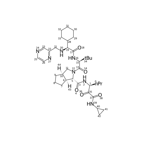 CCC[C@H](NC(=O)[C@@H]1[C@H]2CCC[C@H]2CN1C(=O)[C@@H](NC(=O)[C@@H](NCc1cnccn1)C1CCCCC1)C(C)(C)C)C(=O)C(=O)NC1CC1